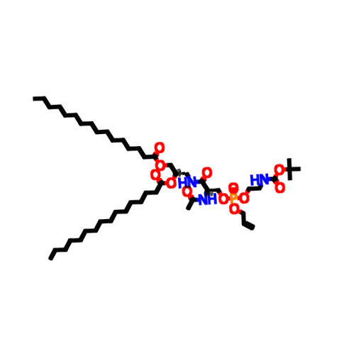 C=CCOP(=O)(OCCNC(=O)OC(C)(C)C)OC[C@@H](NC(C)=O)C(=O)NC[C@@H](COC(=O)CCCCCCCCCCCCCCC)OC(=O)CCCCCCCCCCCCCCC